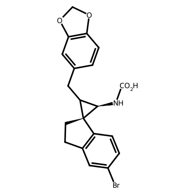 O=C(O)N[C@@H]1C(Cc2ccc3c(c2)OCO3)[C@]12CCc1cc(Br)ccc12